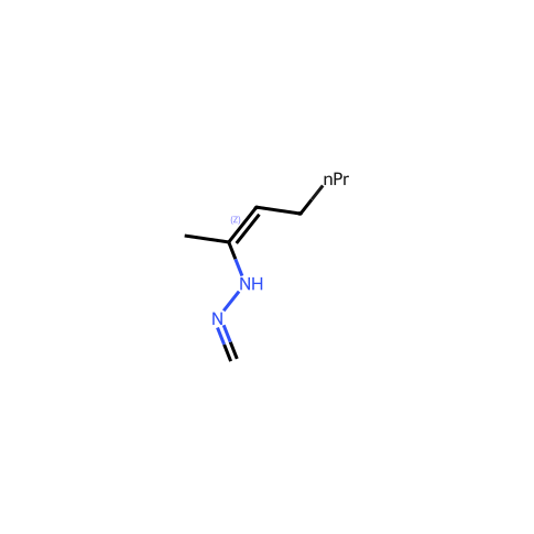 C=NN/C(C)=C\CCCC